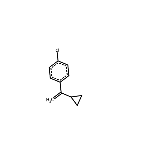 C=C(c1ccc(Cl)cc1)C1CC1